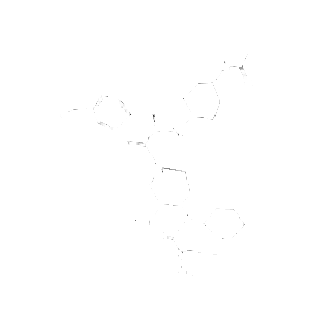 CC1CN(C(=O)[C@@H](Cc2ccc(Cl)cc2)NC2CCC(NC(=O)C(F)(F)F)CC2)CCC1N(C(=O)N(C)C)C1CCCCC1